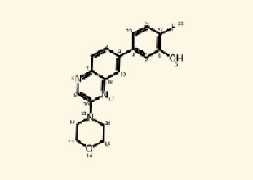 Oc1cc(-c2ccc3ncc(N4CCOCC4)nc3c2)ccc1F